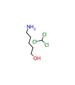 ClC(Cl)Cl.NCCCCCO